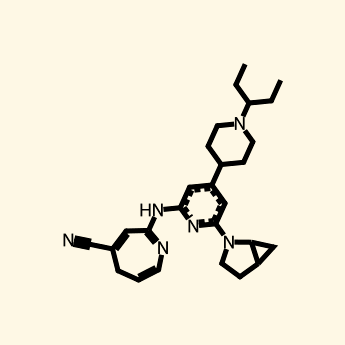 CCC(CC)N1CCC(c2cc(NC3=NC=CCC(C#N)=C3)nc(N3CCC4CC43)c2)CC1